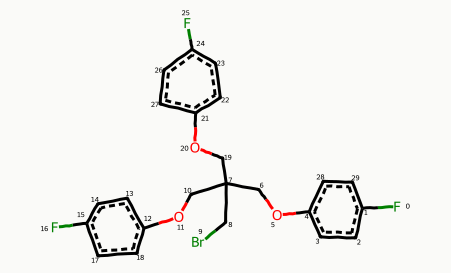 Fc1ccc(OCC(CBr)(COc2ccc(F)cc2)COc2ccc(F)cc2)cc1